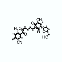 Cc1cn([C@H]2CC[C@@H](CO)O2)c(=O)n(CCCCN(C)C(=O)c2ccc(F)c(C#N)c2)c1=O